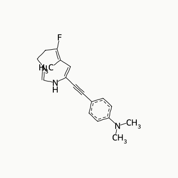 CC1=C(/F)CC/N=C/N/C(C#Cc2ccc(N(C)C)cc2)=C\1